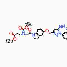 CC(C)(C)OC(=O)CCN(CC(=O)N1CCc2cc(OCc3cc(N)n(-c4ccccc4)n3)ccc21)C(=O)OC(C)(C)C